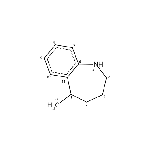 CC1CCCNc2ccccc21